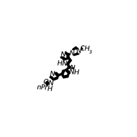 CCCC(=O)Nc1cncc(-c2ccc3[nH]nc(-c4cc5c(N6CCN(C)CC6)cncc5[nH]4)c3c2)c1